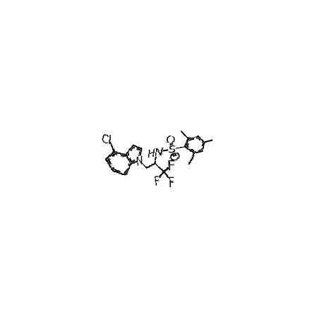 Cc1cc(C)c(S(=O)(=O)NC(Cn2ccc3c(Cl)cccc32)C(F)(F)F)c(C)c1